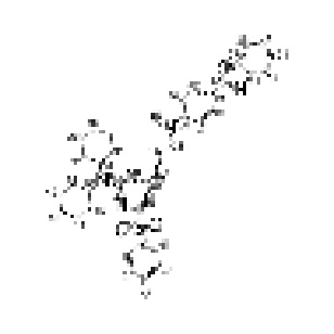 Cc1ccc(S(=O)(=O)c2nc(OCCN(C)c3ccc(-c4nc5ccccc5s4)cc3)nc(N(C3CCCCC3)C3CCCCC3)n2)cc1